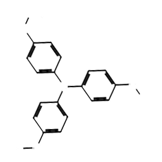 COc1ccc(B(c2ccc(OC)cc2)c2ccc(OC)cc2)cc1